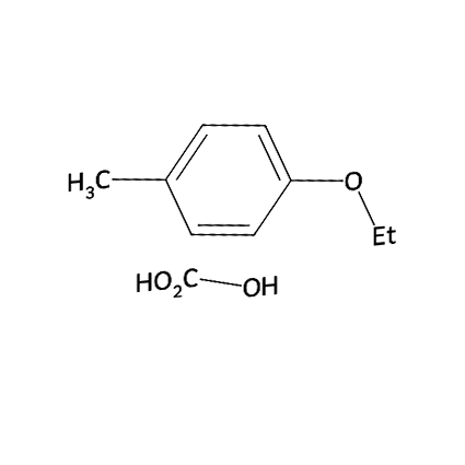 CCOc1ccc(C)cc1.O=C(O)O